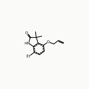 C=CCOc1ccc(CC)c2c1C(C)(C)C(=O)N2